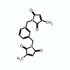 CC1=CC(=O)N(Cc2cccc(CN3C(=O)C=C(C)C3=O)c2)C1=O